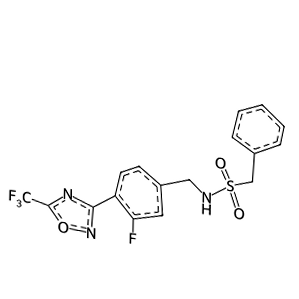 O=S(=O)(Cc1ccccc1)NCc1ccc(-c2noc(C(F)(F)F)n2)c(F)c1